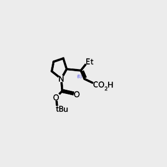 CC/C(=C\C(=O)O)C1CCCN1C(=O)OC(C)(C)C